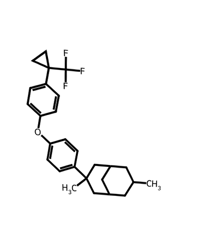 CC1CC2CC(C1)CC(C)(c1ccc(Oc3ccc(C4(C(F)(F)F)CC4)cc3)cc1)C2